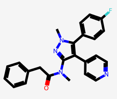 CN(C(=O)Cc1ccccc1)c1nn(C)c(-c2ccc(F)cc2)c1-c1ccncc1